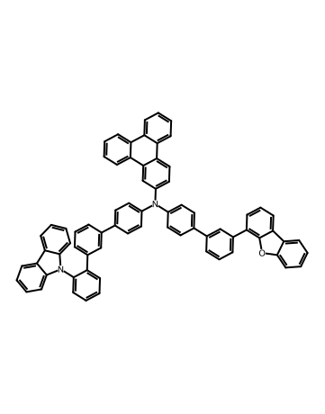 c1cc(-c2ccc(N(c3ccc(-c4cccc(-c5cccc6c5oc5ccccc56)c4)cc3)c3ccc4c5ccccc5c5ccccc5c4c3)cc2)cc(-c2ccccc2-n2c3ccccc3c3ccccc32)c1